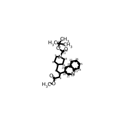 COC(=O)CC(CC1CCN(C(=O)OC(C)(C)C)CC1)c1cnc2ccccc2c1